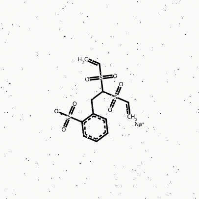 C=CS(=O)(=O)C(Cc1ccccc1S(=O)(=O)[O-])S(=O)(=O)C=C.[Na+]